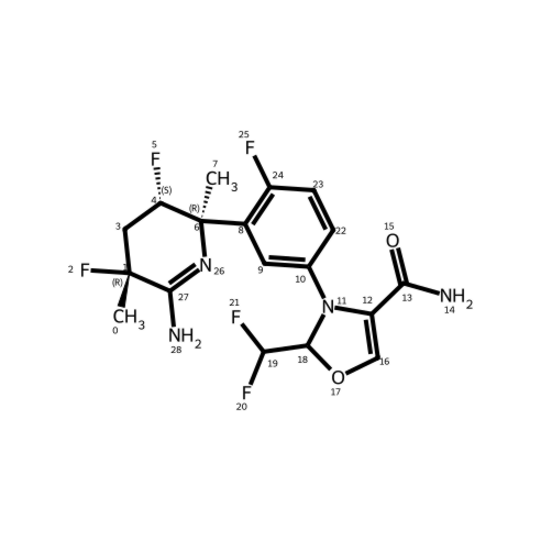 C[C@@]1(F)C[C@H](F)[C@@](C)(c2cc(N3C(C(N)=O)=COC3C(F)F)ccc2F)N=C1N